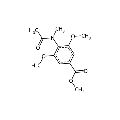 COC(=O)c1cc(OC)c(N(C)C(C)=O)c(OC)c1